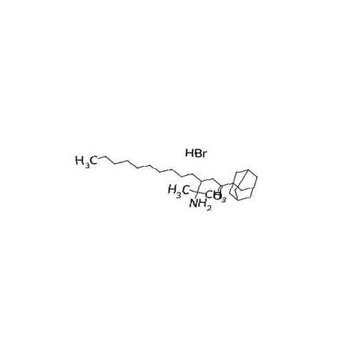 Br.CCCCCCCCCCC(CC(=O)C12CC3CC(CC(C3)C1)C2)C(C)(C)N